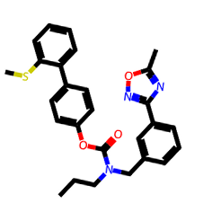 CCCN(Cc1cccc(-c2noc(C)n2)c1)C(=O)Oc1ccc(-c2ccccc2SC)cc1